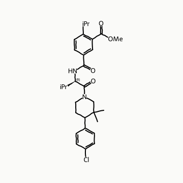 COC(=O)c1cc(C(=O)N[C@@H](C(=O)N2CCC(c3ccc(Cl)cc3)C(C)(C)C2)C(C)C)ccc1C(C)C